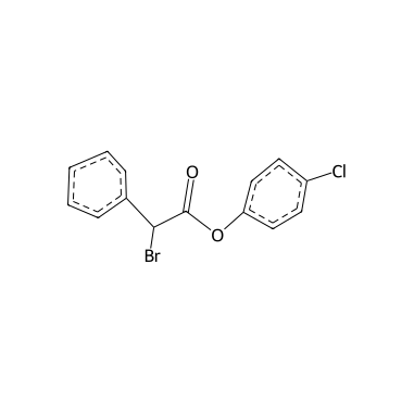 O=C(Oc1ccc(Cl)cc1)C(Br)c1ccccc1